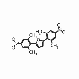 Cc1cc([N+](=O)[O-])cc(C)c1-c1ccc(-c2c(C)cc([N+](=O)[O-])cc2C)o1